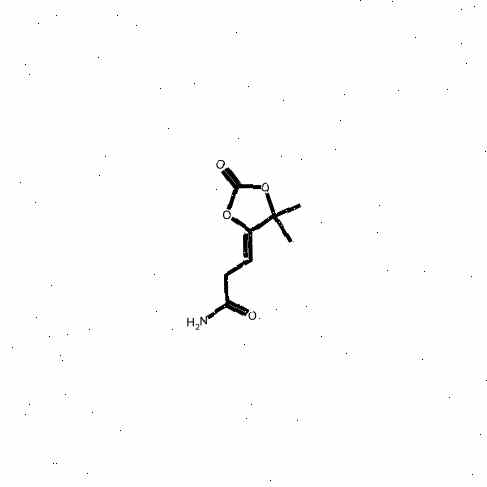 CC1(C)OC(=O)OC1=CCC(N)=O